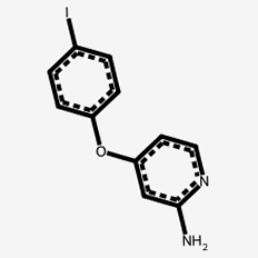 Nc1cc(Oc2ccc(I)cc2)ccn1